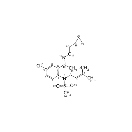 CC(C)=CCN(c1ccc(Cl)cc1/C(C)=N/OCC1CC1)S(=O)(=O)C(F)(F)F